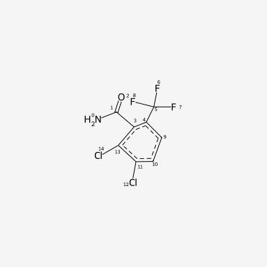 NC(=O)c1c(C(F)(F)F)ccc(Cl)c1Cl